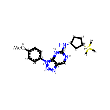 COc1ccc(-n2nnc3cnc(N[C@@H]4CC[C@H](S(C)(C)C)C4)nc32)cc1